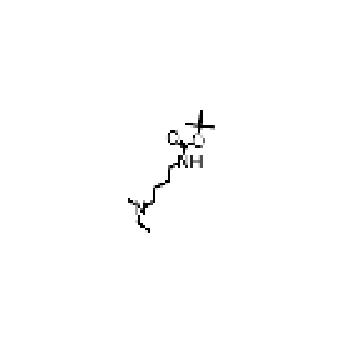 CCN(C)CCCCNC(=O)OC(C)(C)C